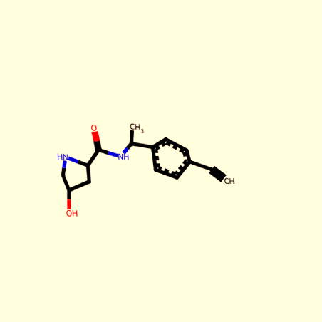 C#Cc1ccc(C(C)NC(=O)C2CC(O)CN2)cc1